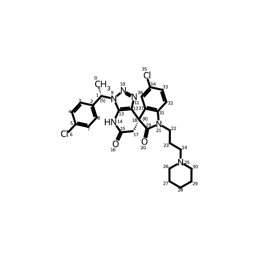 C[C@@H](c1ccc(Cl)cc1)n1nnc2c1NC(=O)C[C@]21C(=O)N(CCCN2CCCCC2)c2ccc(Cl)cc21